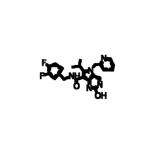 CC(C)c1c(C(=O)NCc2ccc(F)c(F)c2)c2nc(O)ncc2n1Cc1ccccn1